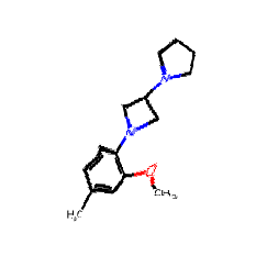 COc1cc(C)ccc1N1CC(N2CCCC2)C1